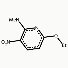 CCOc1ccc([N+](=O)[O-])c(NC)n1